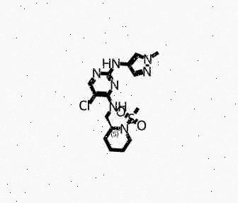 Cn1cc(Nc2ncc(Cl)c(NC[C@@H]3CCCCN3S(C)(=O)=O)n2)cn1